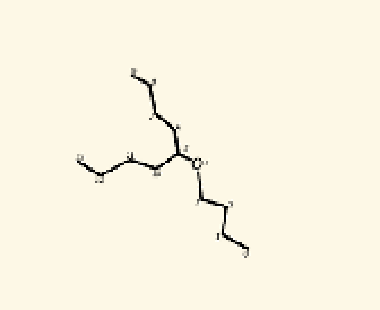 CCCCO[C](CCCC)CCCC